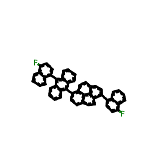 Fc1ccc(-c2c3ccccc3c(-c3ccc4ccc5c(-c6ccc(F)c7ccccc67)ccc6ccc3c4c65)c3ccccc23)c2ccccc12